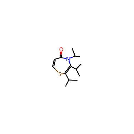 CC(C)C1=C(C(C)C)N(C(C)C)C(=O)C=CS1